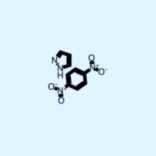 O=[N+]([O-])c1ccc([N+](=O)[O-])cc1.c1cn[nH]c1